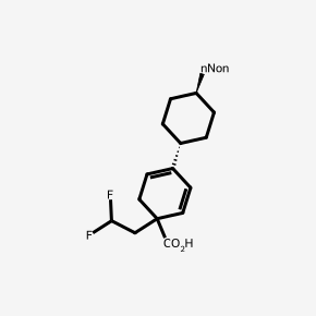 CCCCCCCCC[C@H]1CC[C@H](C2=CCC(CC(F)F)(C(=O)O)C=C2)CC1